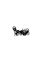 C[C@@H](O)C(=O)Nc1cccc(Nc2nccc(-c3ccc(OC4CCOCC4)c(C#N)c3)n2)c1